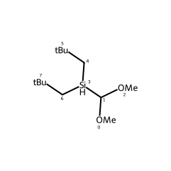 COC(OC)[SiH](CC(C)(C)C)CC(C)(C)C